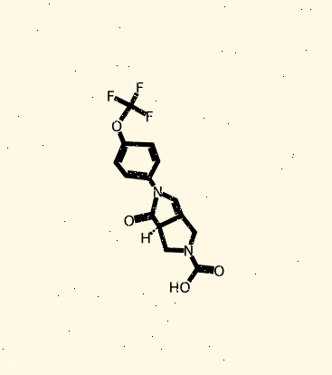 O=C(O)N1CC2=CN(c3ccc(OC(F)(F)F)cc3)C(=O)[C@@H]2C1